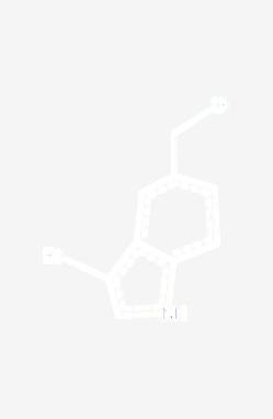 CCc1c[nH]c2ccc(C[O])cc12